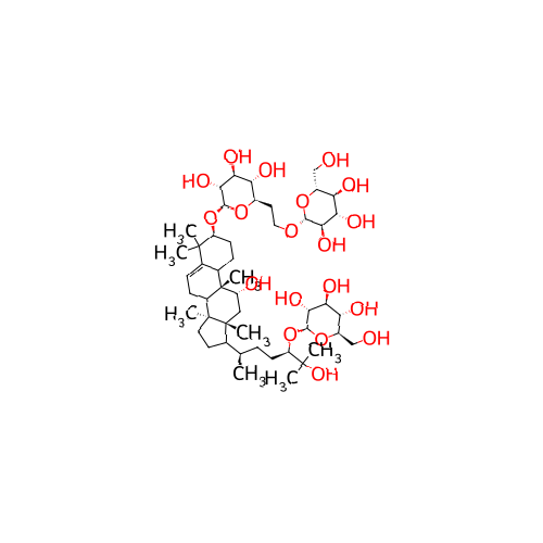 C[C@H](CC[C@@H](O[C@@H]1O[C@H](CO)[C@@H](O)[C@H](O)[C@H]1O)C(C)(C)O)C1CC[C@@]2(C)C3CC=C4C(CC[C@H](O[C@@H]5O[C@H](CCO[C@@H]6O[C@H](CO)[C@@H](O)[C@H](O)[C@H]6O)[C@@H](O)[C@H](O)[C@H]5O)C4(C)C)[C@]3(C)[C@H](O)C[C@]12C